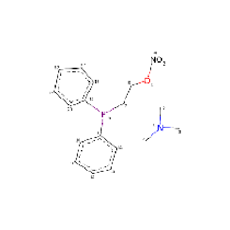 CN(C)C.O=[N+]([O-])OCCP(c1ccccc1)c1ccccc1